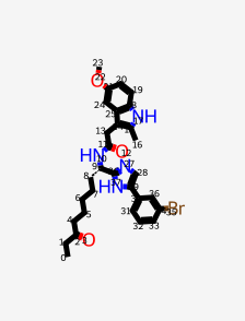 CCC(=O)CCCCC[C@H](NC(=O)Cc1c(C)[nH]c2ccc(OC)cc12)c1ncc(-c2cccc(Br)c2)[nH]1